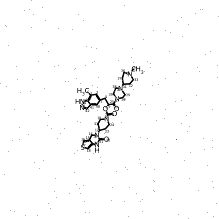 Cc1cc(CC(OC(=O)N2CCC(N3Cc4cscc4NC3=O)CC2)C(=O)N2CCN(C3CCN(C)CC3)CC2)cc2cn[nH]c12